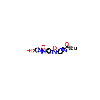 CC(C)(C)C(=O)c1cn2cc(NC(=O)c3ccc(NC(=O)N4CCC(O)CC4)cc3)ccc2n1